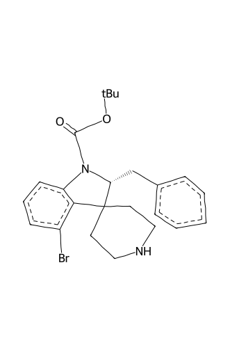 CC(C)(C)OC(=O)N1c2cccc(Br)c2C2(CCNCC2)[C@H]1Cc1ccccc1